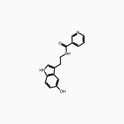 O=C(NCCc1c[nH]c2ccc(O)cc12)c1cccnc1